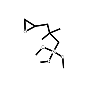 CO[Si](CC(C)(C)CC1CO1)(OC)OC